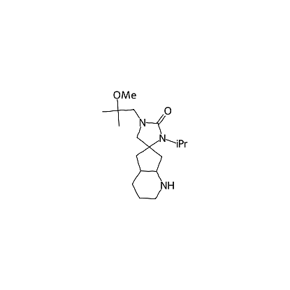 COC(C)(C)CN1CC2(CC3CCCNC3C2)N(C(C)C)C1=O